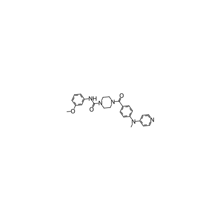 COc1cccc(NC(=O)N2CCN(C(=O)c3ccc(N(C)c4ccncc4)cc3)CC2)c1